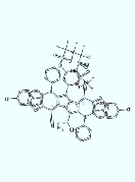 CC(C)c1c2/c(=C(\C#N)c3nc4ccc(Cl)cc4o3)n(B(c3ccccc3)c3ccccc3)c(-c3cccc(OS(=O)(=O)C(F)(F)C(F)(F)C(F)(F)S(=O)(=O)NS(=O)(=O)C(F)(F)F)c3)c2/c(=C(\C#N)c2nc3ccc(Cl)cc3o2)n1B(c1ccccc1)c1ccccc1